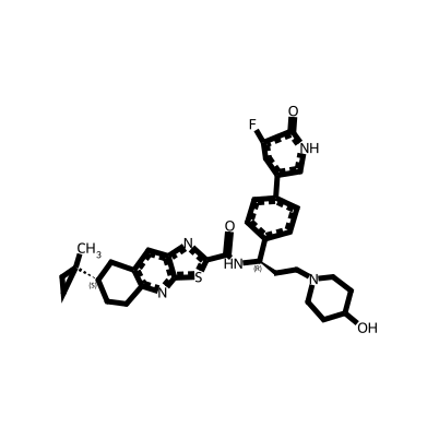 CC1([C@H]2CCc3nc4sc(C(=O)N[C@H](CCN5CCC(O)CC5)c5ccc(-c6c[nH]c(=O)c(F)c6)cc5)nc4cc3C2)CC1